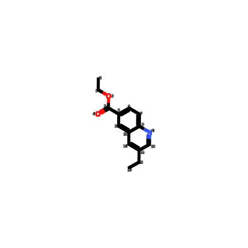 CCOC(=O)c1ccc2ncc(CC)cc2c1